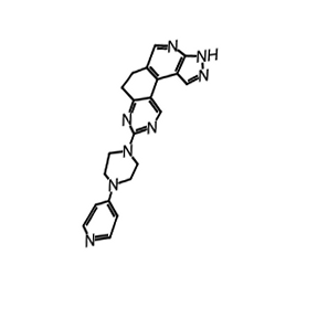 c1cc(N2CCN(c3ncc4c(n3)CCc3cnc5[nH]ncc5c3-4)CC2)ccn1